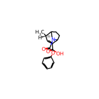 C[C@H]1C=C(C(=O)O)C2CCC1CN2C(=O)Oc1ccccc1